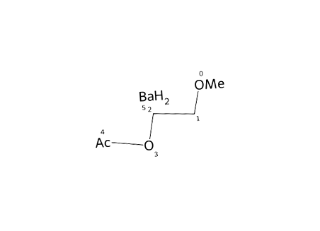 COCCOC(C)=O.[BaH2]